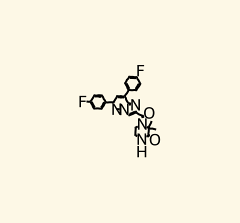 CC1(C)C(=O)NCCN1C(=O)c1cn2nc(-c3ccc(F)cc3)cc(-c3ccc(F)cc3)c2n1